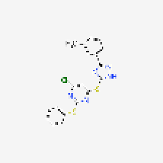 FC(F)(F)c1cccc(-c2n[nH]c(Sc3cc(Cl)nc(Sc4ccccc4)n3)n2)c1